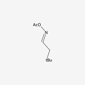 CC(=O)ON=CCC(C)(C)C